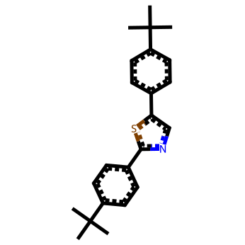 CC(C)(C)c1ccc(-c2cnc(-c3ccc(C(C)(C)C)cc3)s2)cc1